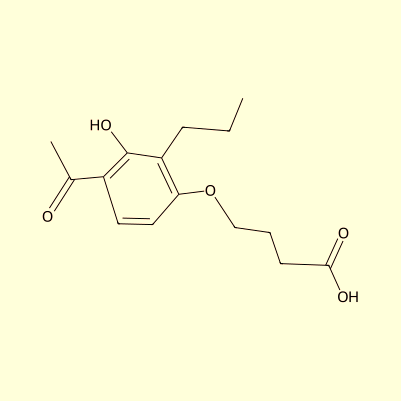 CCCc1c(OCCCC(=O)O)ccc(C(C)=O)c1O